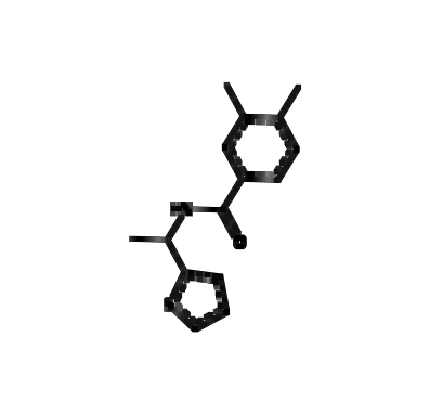 Cc1ccc(C(=O)NC(C)c2cccs2)cc1C